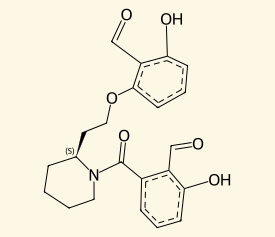 O=Cc1c(O)cccc1OCC[C@@H]1CCCCN1C(=O)c1cccc(O)c1C=O